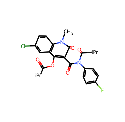 CC(C)C(=O)Oc1c(C(=O)N(C(=O)C(C)C)c2ccc(F)cc2)c(=O)n(C)c2ccc(Cl)cc12